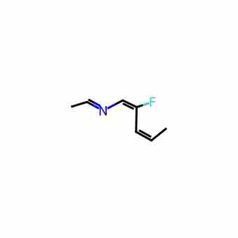 C\C=C/C(F)=C\N=C\C